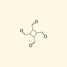 O=CC1C(C=O)C(C=O)C1C=O